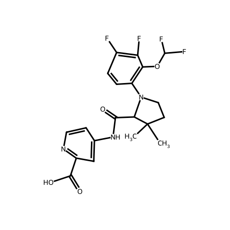 CC1(C)CCN(c2ccc(F)c(F)c2OC(F)F)C1C(=O)Nc1ccnc(C(=O)O)c1